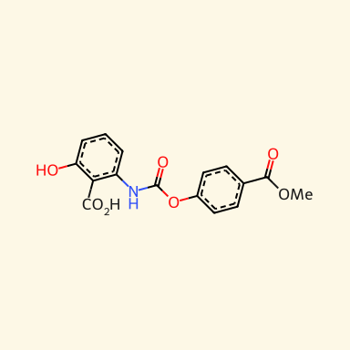 COC(=O)c1ccc(OC(=O)Nc2cccc(O)c2C(=O)O)cc1